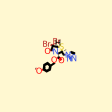 COc1ccc(COC(=O)[C@@H]2N3C(=O)C(Br)(Br)[C@@H]3S[C@@]2(C)Cn2ccnn2)cc1